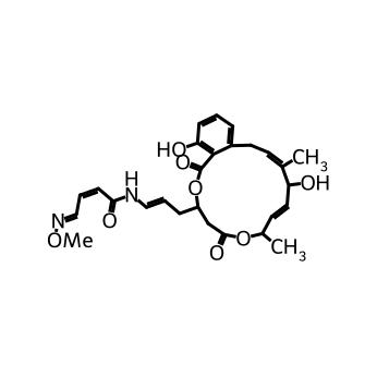 CO/N=C/C=C\C(=O)N/C=C/CC1CC(=O)OC(C)/C=C/C(O)/C(C)=C\Cc2cccc(O)c2C(=O)O1